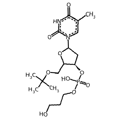 Cc1cn(C2C[C@@H](OP(=O)(O)OCCCO)C(COC(C)(C)C)O2)c(=O)[nH]c1=O